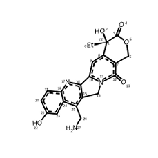 CC[C@@]1(O)C(=O)OCc2c1cc1n(c2=O)Cc2c-1nc1ccc(O)cc1c2CN